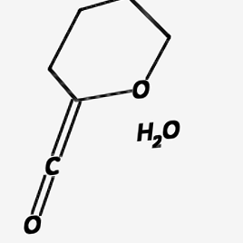 O.O=C=C1CCCCO1